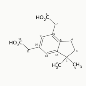 CC1(C)CCc2c(CC(=O)O)cc(CC(=O)O)cc21